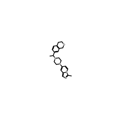 Cc1ncc2cc(N3CCN(C(C)c4ccc5c(c4)COCC5)CC3)ccn12